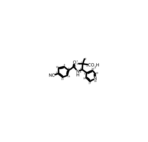 CC(C)(C(=O)O)C(NC(=O)c1ccc(C#N)cc1)c1ccncc1